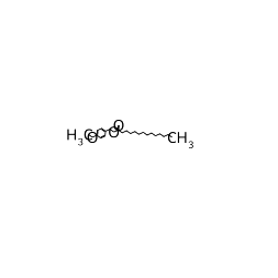 CCCCCCCCCCCCCC(=O)OCc1ccc(OC)cc1